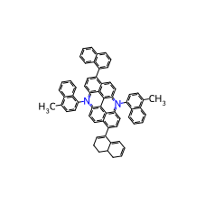 Cc1ccc(-n2c3ccc4c(-c5cccc6ccccc56)ccc5c4c3-c3c4c(ccc3n5-c3ccc(C)c5ccccc35)c(C3=CCCC5CC=CC=C35)ccc42)c2ccccc12